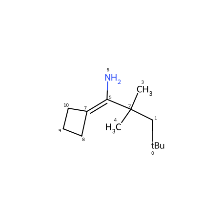 CC(C)(C)CC(C)(C)C(N)=C1CCC1